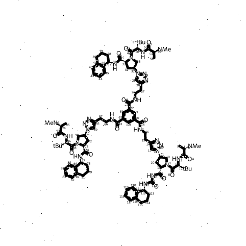 CN[C@@H](C)C(=O)N[C@H](C(=O)N1C[C@@H](n2cc(CCNC(=O)c3cc(C(=O)NCCc4cn(C5C[C@@H](C(=O)N[C@@H]6CCCc7ccccc76)N(C(=O)[C@@H](NC(=O)[C@H](C)NC)C(C)(C)C)C5)nn4)cc(C(=O)NCCc4cn([C@H]5C[C@@H](C(=O)N[C@@H]6CCCc7ccccc76)N(C(=O)[C@@H](NC(=O)[C@H](C)NC)C(C)(C)C)C5)nn4)c3)nn2)C[C@H]1C(=O)NC(=O)N[C@@H]1CCCc2ccccc21)C(C)(C)C